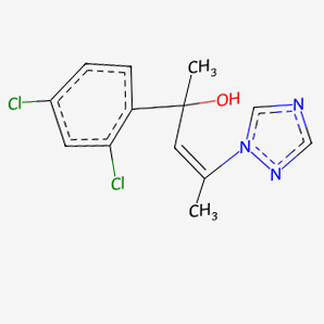 CC(=CC(C)(O)c1ccc(Cl)cc1Cl)n1cncn1